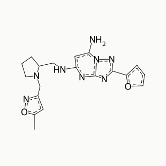 Cc1cc(CN2CCCC2CNc2cc(N)n3nc(-c4ccco4)nc3n2)no1